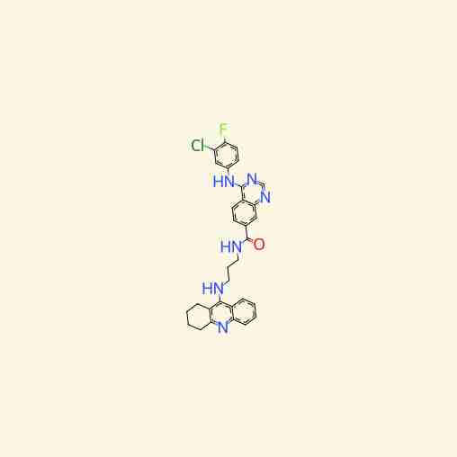 O=C(NCCCNc1c2c(nc3ccccc13)CCCC2)c1ccc2c(Nc3ccc(F)c(Cl)c3)ncnc2c1